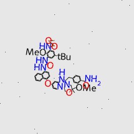 COc1cc(CC(Nc2cc(Oc3ccc(NC(=O)Nc4cc(C(C)(C)C)cc(NS(C)(=O)=O)c4OC)c4ccccc34)ccn2)N2CCOC(C)(C)C2)ccc1C(N)=O